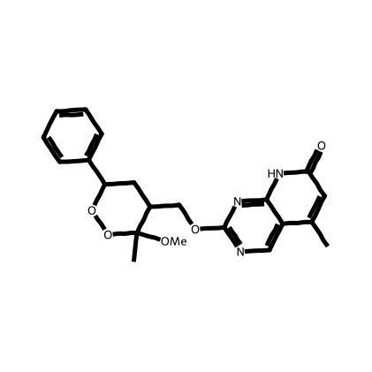 COC1(C)OOC(c2ccccc2)CC1COc1ncc2c(C)cc(=O)[nH]c2n1